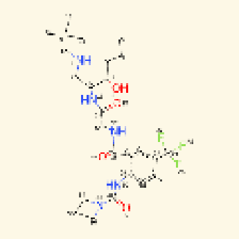 CCCC(O)C(CNCC(C)(C)C)NC(=O)CNC(=O)c1cc(C(F)(F)F)ccc1NC(=O)N1CCC1